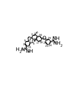 Cc1cc(=O)n(Cc2cccc(C(=N)N)c2)c2ccc(Oc3cccc(C(=N)N)c3)cc12